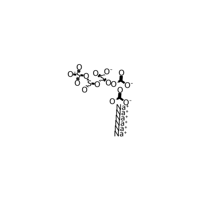 O=C([O-])[O-].O=C([O-])[O-].O=S(OS(=O)(=O)[O-])OS(=O)(=O)[O-].[Na+].[Na+].[Na+].[Na+].[Na+].[Na+]